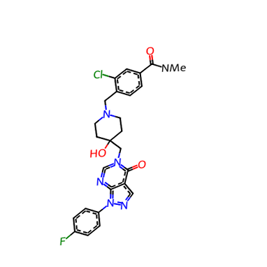 CNC(=O)c1ccc(CN2CCC(O)(Cn3cnc4c(cnn4-c4ccc(F)cc4)c3=O)CC2)c(Cl)c1